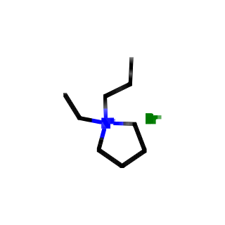 CCC[N+]1(CC)CCCC1.[Br-]